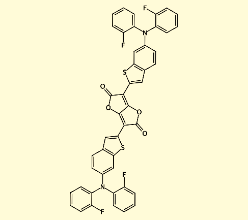 O=C1OC2=C(c3cc4ccc(N(c5ccccc5F)c5ccccc5F)cc4s3)C(=O)OC2=C1c1cc2ccc(N(c3ccccc3F)c3ccccc3F)cc2s1